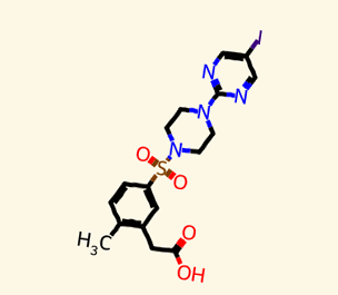 Cc1ccc(S(=O)(=O)N2CCN(c3ncc(I)cn3)CC2)cc1CC(=O)O